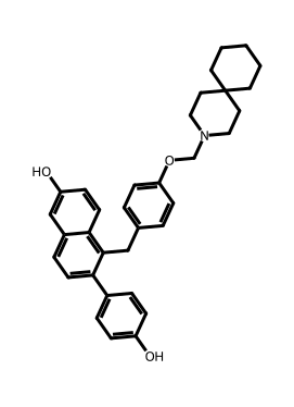 Oc1ccc(-c2ccc3cc(O)ccc3c2Cc2ccc(OCN3CCC4(CCCCC4)CC3)cc2)cc1